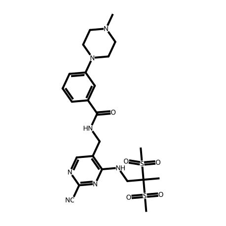 CN1CCN(c2cccc(C(=O)NCc3cnc(C#N)nc3NCC(C)(S(C)(=O)=O)S(C)(=O)=O)c2)CC1